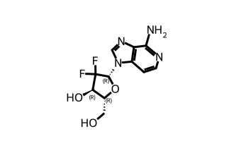 Nc1nccc2c1ncn2[C@@H]1O[C@H](CO)[C@@H](O)C1(F)F